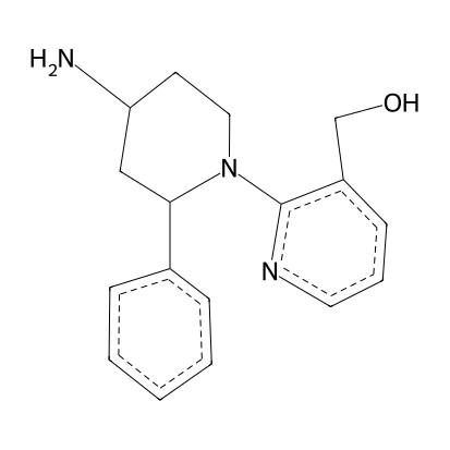 NC1CCN(c2ncccc2CO)C(c2ccccc2)C1